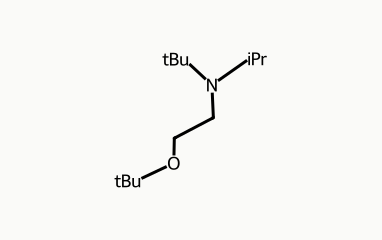 CC(C)N(CCOC(C)(C)C)C(C)(C)C